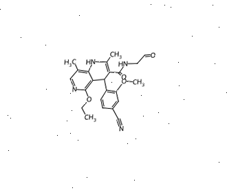 CCOc1ncc(C)c2c1C(c1ccc(C#N)cc1OC)C(C(=O)NCC=O)=C(C)N2